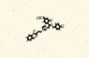 O=C(CC[n+]1ccn(CC(OCc2ccc(Cl)cc2)c2ccc(Cl)cc2Cl)c1)Nc1ccccc1F.[Cl-]